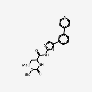 COCC(NC(=O)OC(C)(C)C)C(=O)Nc1nc(-c2cccc(-c3ccncc3)c2)cs1